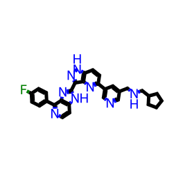 Fc1ccc(-c2nccc3[nH]c(-c4n[nH]c5ccc(-c6cncc(CNCC7CCCC7)c6)nc45)nc23)cc1